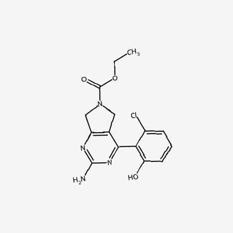 CCOC(=O)N1Cc2nc(N)nc(-c3c(O)cccc3Cl)c2C1